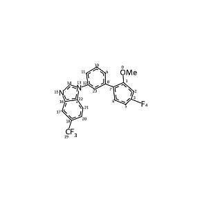 COc1cc(F)ccc1-c1cccc(-n2cnc3cc(C(F)(F)F)ccc32)c1